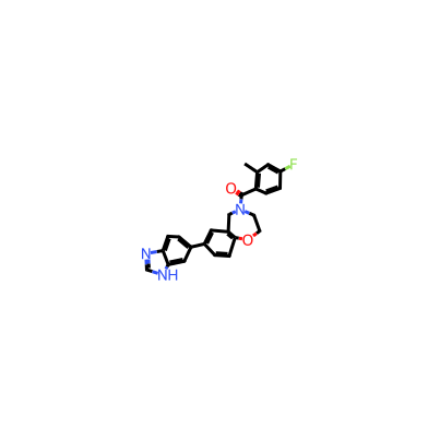 Cc1cc(F)ccc1C(=O)N1CCOc2ccc(-c3ccc4nc[nH]c4c3)cc2C1